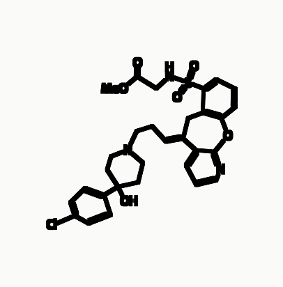 COC(=O)CNS(=O)(=O)c1cccc2c1CC(=CCCN1CCC(O)(c3ccc(Cl)cc3)CC1)c1cccnc1O2